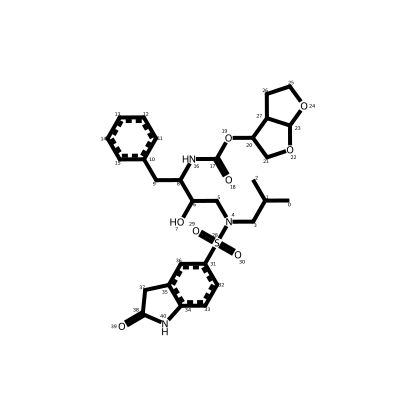 CC(C)CN(CC(O)C(Cc1ccccc1)NC(=O)OC1COC2OCCC12)S(=O)(=O)c1ccc2c(c1)CC(=O)N2